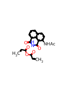 C=CC(=O)OC(=O)C=C.CC(=O)Nc1ccc2cccc3c2c1C(=O)NC3=O